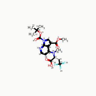 COC(=O)c1cn(C(=O)OC(C)(C)C)c2nccc(N(C)[C@H](CC(F)(F)F)C(=O)O)c12